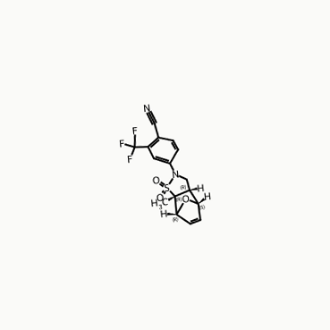 C[C@]12[C@H](CN(c3ccc(C#N)c(C(F)(F)F)c3)S1(=O)=O)[C@@H]1C=C[C@H]2O1